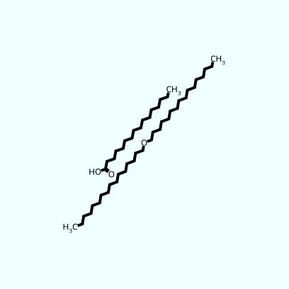 CCCCCCCCCCCCCCCC(=O)O.CCCCCCCCCCCCCCCCOCCCCCCCCCCCCCCCC